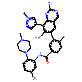 COc1c(-c2cc(C(=O)Nc3cc(C(F)(F)F)ccc3N3CCN(C)CC3)ccc2C)cc2cnc(N)nc2c1-c1cnn(C)c1